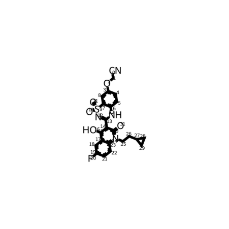 N#CCOc1ccc2c(c1)S(=O)(=O)N=C(c1c(O)c3cc(F)ccc3n(CCC3CC3)c1=O)N2